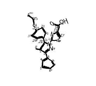 Cc1c(-c2ccccc2)nn(-c2nc(C(=O)O)cs2)c1-c1ccc(SCI)cc1